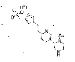 CCCOS(=O)(=O)Cc1cc(CCc2ccc(C3CNCCN3C(C)=O)cn2)cs1